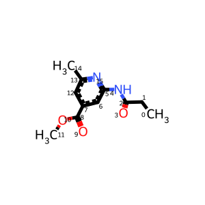 CCC(=O)Nc1cc(C(=O)OC)cc(C)n1